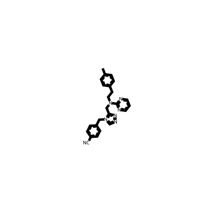 Cc1ccc(CCN(Cc2nncn2Cc2ccc(C#N)cc2)c2ncccn2)cc1